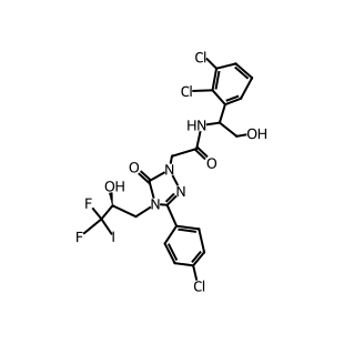 O=C(Cn1nc(-c2ccc(Cl)cc2)n(C[C@H](O)C(F)(F)I)c1=O)NC(CO)c1cccc(Cl)c1Cl